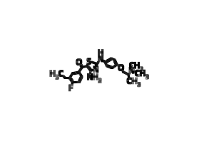 CCc1cc(C(=O)c2sc(Nc3ccc(OCC(C)N(C)C)cc3)nc2N)ccc1F